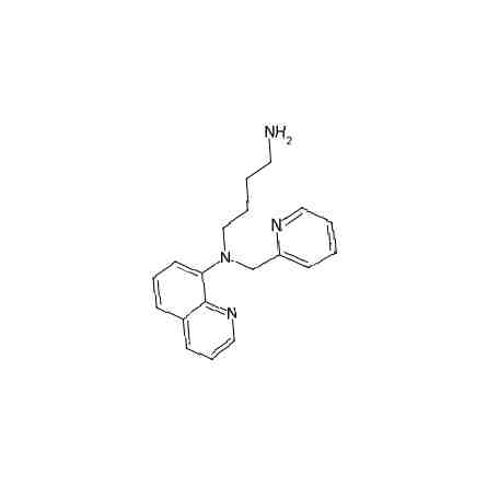 NCCCCN(Cc1ccccn1)c1cccc2cccnc12